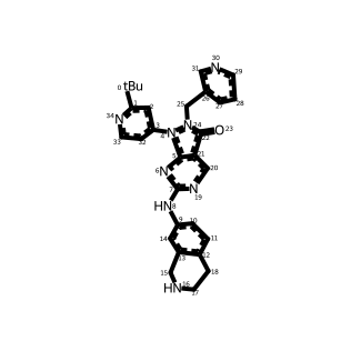 CC(C)(C)c1cc(-n2c3nc(Nc4ccc5c(c4)CNCC5)ncc3c(=O)n2Cc2cccnc2)ccn1